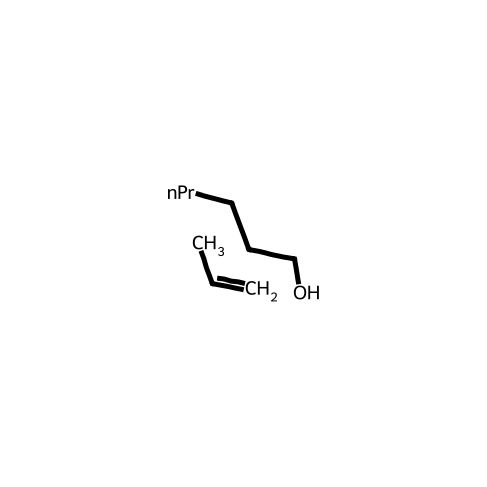 C=CC.CCCCCCO